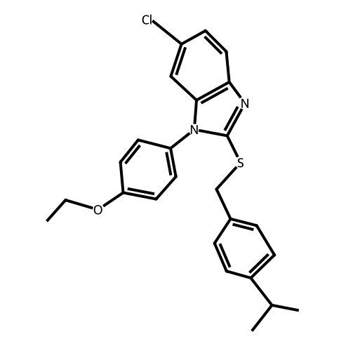 CCOc1ccc(-n2c(SCc3ccc(C(C)C)cc3)nc3ccc(Cl)cc32)cc1